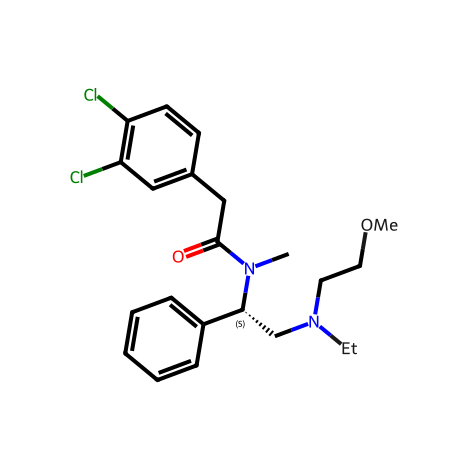 CCN(CCOC)C[C@H](c1ccccc1)N(C)C(=O)Cc1ccc(Cl)c(Cl)c1